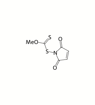 COC(=S)SN1C(=O)C=CC1=O